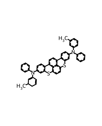 Cc1cccc(N(c2ccccc2)c2ccc3c(c2)Sc2ccc4c5c(ccc-3c25)-c2ccc(N(C3=CC(C)CC=C3)c3ccccc3)cc2S4)c1